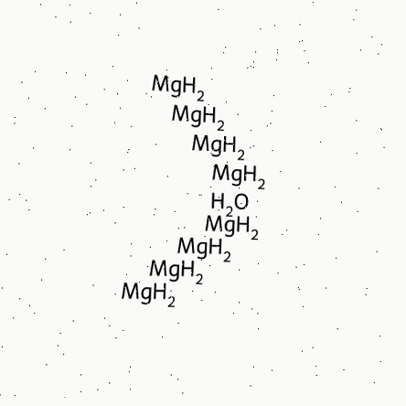 O.[MgH2].[MgH2].[MgH2].[MgH2].[MgH2].[MgH2].[MgH2].[MgH2]